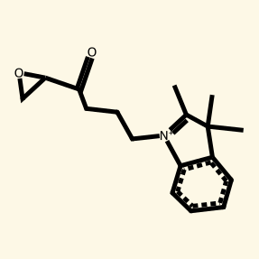 CC1=[N+](CCCC(=O)C2CO2)c2ccccc2C1(C)C